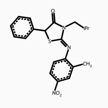 Cc1cc([N+](=O)[O-])ccc1/N=C1\SC(c2ccccc2)C(=O)N1CC(C)C